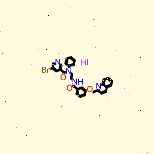 I.O=C(NCCN(C(=O)c1cncc(Br)c1)c1ccccc1)c1cccc(OCc2ccc3ccccc3n2)c1